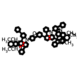 CC1(C)CCC(C)(C)c2cc(-n3c4ccccc4c4ccc(N(c5ccc6c(c5)oc5ccc(-c7ccccc7-c7ccccc7N(c7cccc(C8(c9ccccc9)c9ccccc9-c9ccccc98)c7)c7ccc8c9ccccc9n(-c9ccc%10c(c9)C(C)(C)CCC%10(C)C)c8c7)cc56)c5ccc(-c6ccccc6)cc5-c5ccccc5)cc43)ccc21